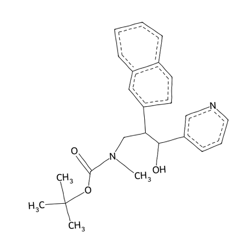 CN(CC(c1ccc2ccccc2c1)C(O)c1cccnc1)C(=O)OC(C)(C)C